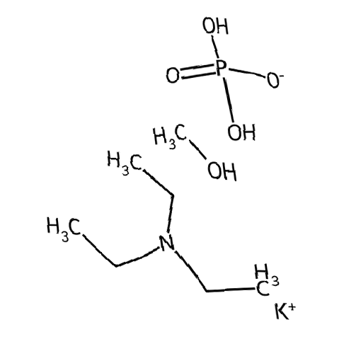 CCN(CC)CC.CO.O=P([O-])(O)O.[K+]